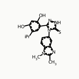 Cc1nc2cc(-n3c(-c4cc(C(C)C)c(O)cc4O)n[nH]c3=S)ccc2n1C